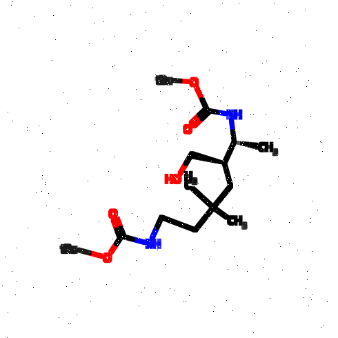 C[C@@H](NC(=O)OC(C)(C)C)[C@H](CO)CC(C)(C)CCNC(=O)OC(C)(C)C